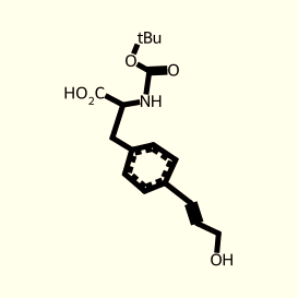 CC(C)(C)OC(=O)NC(Cc1ccc(C#CCO)cc1)C(=O)O